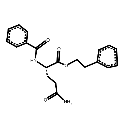 NC(=O)CC[C@H](NC(=O)c1ccccc1)C(=O)OCCc1ccccc1